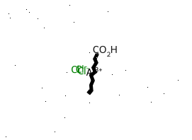 C=CCCCCCCCCC(=O)O.[Al+3].[Cl-].[Cl-].[Cl-]